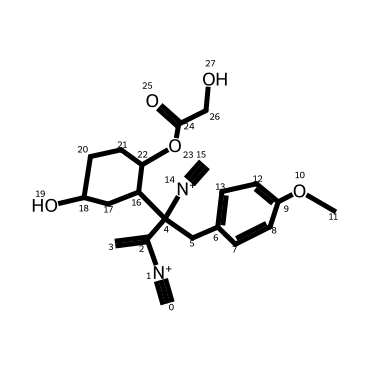 C#[N+]C(=C)C(Cc1ccc(OC)cc1)([N+]#C)C1CC(O)CCC1OC(=O)CO